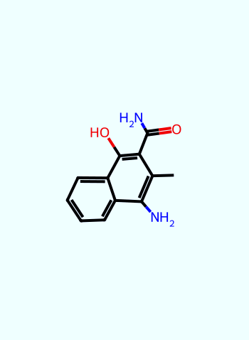 Cc1c(C(N)=O)c(O)c2ccccc2c1N